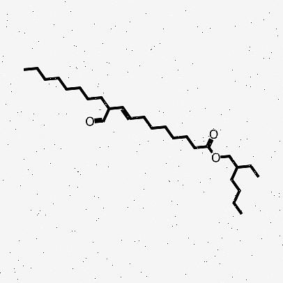 CCCCCCCCC(C=O)/C=C/CCCCCCC(=O)OCC(CC)CCCC